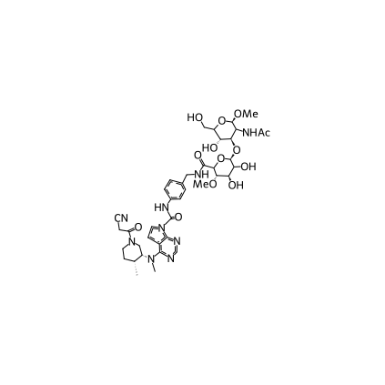 CO[C@@H]1OC(CO)[C@@H](O)[C@H](O[C@@H]2OC(C(=O)NCc3ccc(NC(=O)n4ccc5c(N(C)[C@H]6CN(C(=O)CC#N)CC[C@H]6C)ncnc54)cc3)[C@@H](OC)[C@H](O)C2O)C1NC(C)=O